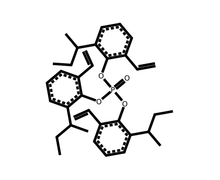 C=Cc1cccc(C(C)CC)c1OP(=O)(Oc1c(C=C)cccc1C(C)CC)Oc1c(C=C)cccc1C(C)CC